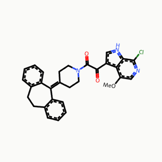 COc1cnc(Cl)c2[nH]cc(C(=O)C(=O)N3CCC(=C4c5ccccc5CCc5ccccc54)CC3)c12